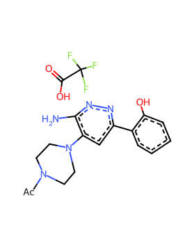 CC(=O)N1CCN(c2cc(-c3ccccc3O)nnc2N)CC1.O=C(O)C(F)(F)F